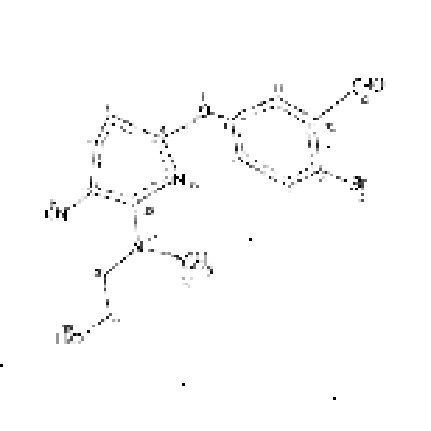 [C-]#[N+]c1ccc(Oc2ccc(Br)c(C=O)c2)nc1N(C)CCO